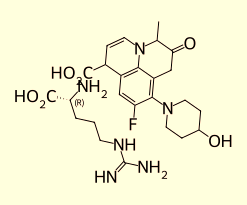 CC1C(=O)Cc2c(N3CCC(O)CC3)c(F)cc3c2N1C=CC3C(=O)O.N=C(N)NCCC[C@@H](N)C(=O)O